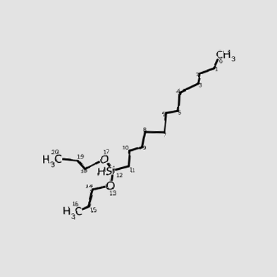 CCCCCCCCCCCC[SiH](OCCC)OCCC